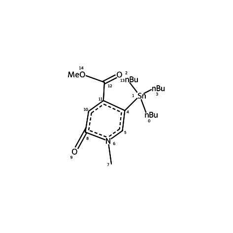 CCC[CH2][Sn]([CH2]CCC)([CH2]CCC)[c]1cn(C)c(=O)cc1C(=O)OC